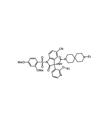 CCOc1ncccc1[C@]1(NC(=O)N2CCC3(CCN(CC)CC3)CC2)C(=O)N(S(=O)(=O)c2ccc(OC)cc2OC)c2ccc(C#N)cc21